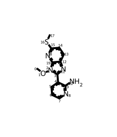 COn1c(-c2cccnc2N)nc2ccc(SC)nc21